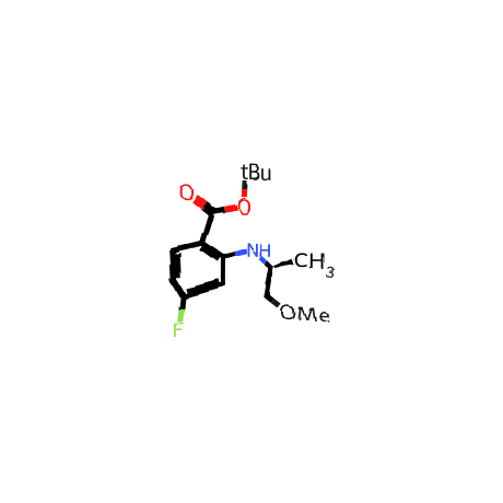 COC[C@H](C)Nc1cc(F)ccc1C(=O)OC(C)(C)C